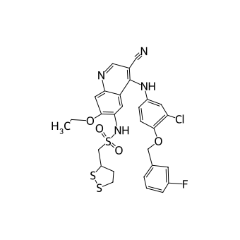 CCOc1cc2ncc(C#N)c(Nc3ccc(OCc4cccc(F)c4)c(Cl)c3)c2cc1NS(=O)(=O)CC1CCSS1